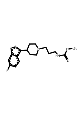 CC(C)(C)OC(=O)NCCCN1CCC(c2noc3cc(F)ccc23)CC1